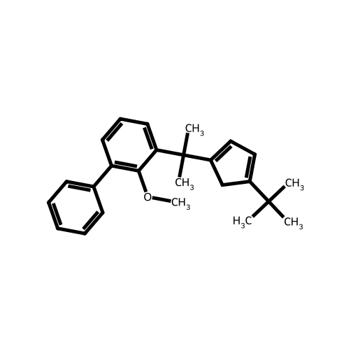 COc1c(-c2ccccc2)cccc1C(C)(C)C1=CC=C(C(C)(C)C)C1